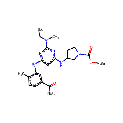 CNC(=O)c1ccc(C)c(Nc2cc(NC3CCN(C(=O)OC(C)(C)C)C3)nc(N(C)CC(C)(C)C)n2)c1